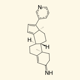 C[C@]12CC[C@H]3[C@@H](CCC4=CC(=N)CC[C@@]43C)C1=CC=C2c1cccnc1